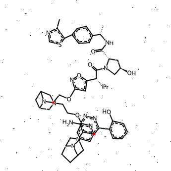 Cc1ncsc1-c1ccc([C@H](C)NC(=O)[C@@H]2C[C@@H](O)CN2C(=O)[C@@H](c2cc(OCCN3C4CC3CN(CCOc3cc(N5C6CCC5CN(c5cc(-c7ccccc7O)nnc5N)C6)ccn3)C4)no2)C(C)C)cc1